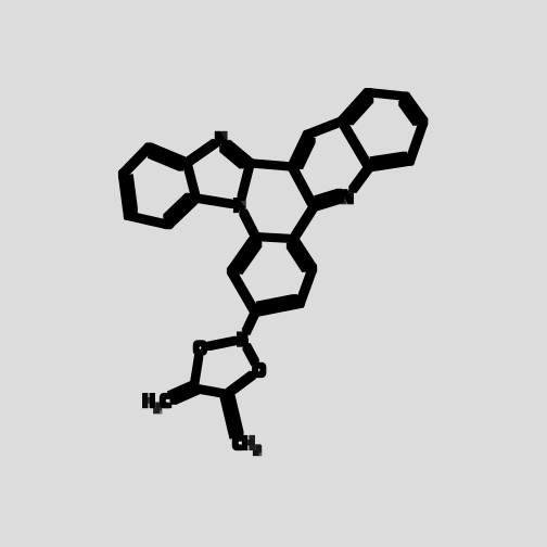 C=C1OB(c2ccc3c4nc5ccccc5cc4c4nc5ccccc5n4c3c2)OC1=C